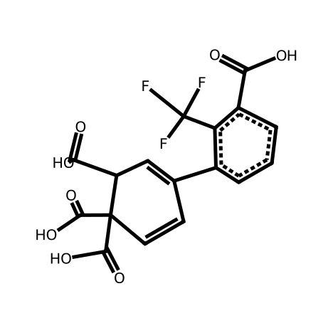 O=C(O)c1cccc(C2=CC(C(=O)O)C(C(=O)O)(C(=O)O)C=C2)c1C(F)(F)F